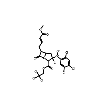 COC(=O)C=CCC1C(=O)N2C1CC(Cl)([S+]([O-])c1cc(Cl)c(Cl)cc1Cl)C2C(=O)OCC(Cl)(Cl)Cl